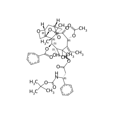 CC(=O)O[C@H]1C(=O)[C@]23C[C@H]2C[C@H]2OC[C@@]2(OC(C)=O)[C@@]3(C)[C@H](OC(=O)c2ccccc2)[C@]2(O)C[C@H](OC(=O)C[C@@H](NC(=O)OC(C)(C)C)c3ccccc3)C(C)=C1C2(C)C